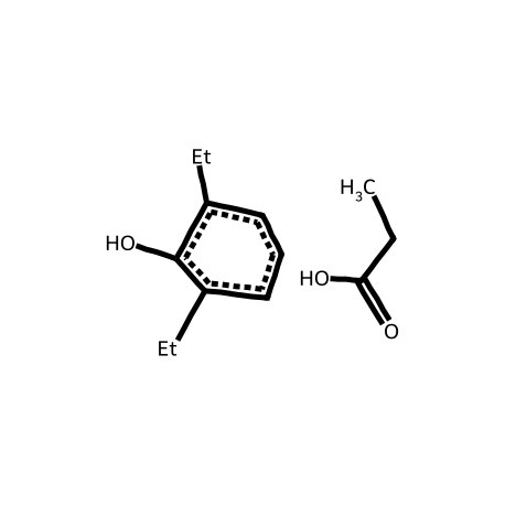 CCC(=O)O.CCc1cccc(CC)c1O